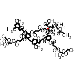 C=CC(=O)OCC(C)OC(=O)CCC(=O)Oc1ccc(OC(=O)CCC(=O)OCC(C)OC(=O)C=C)c2nc(-c3cc4c(C)cc(Cc5cc(OC(=O)CCC(=O)OCC(C)OC(=O)C=C)c6sc(-c7cc8c(C)cc(C)cc8o7)nc6c5OC(=O)CCC(=O)OCC(C)OC(=O)C=C)cc4o3)sc12